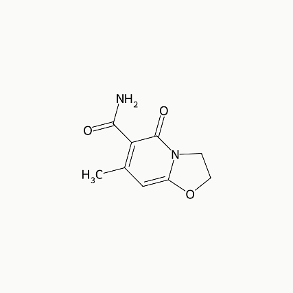 Cc1cc2n(c(=O)c1C(N)=O)CCO2